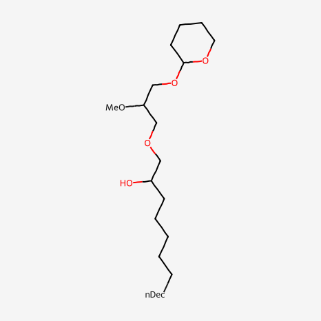 CCCCCCCCCCCCCCCC(O)COCC(COC1CCCCO1)OC